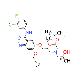 C[C@H](O)CN(CCCOc1cc2c(Nc3ccc(F)c(Cl)c3)ncnc2cc1OCC1CC1)CC(=O)OC(C)(C)C